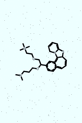 CN(C)CCCOC(COCC[Si](C)(C)C)c1ccc2c(c1)=C1C(C=CC=2)SC2=CC=CCN21